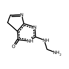 NCNc1nc2c(c(=O)[nH]1)CC=N2